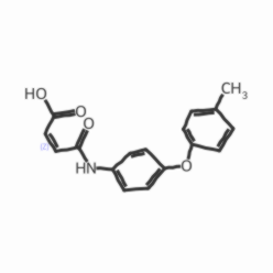 Cc1ccc(Oc2ccc(NC(=O)/C=C\C(=O)O)cc2)cc1